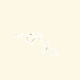 COc1ccc(CCNC(=O)CN)cc1.Cl